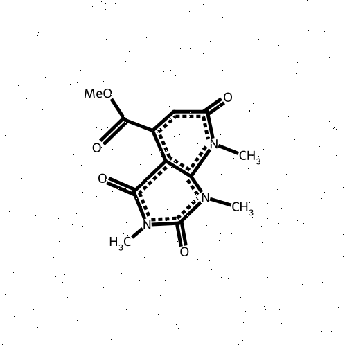 COC(=O)c1cc(=O)n(C)c2c1c(=O)n(C)c(=O)n2C